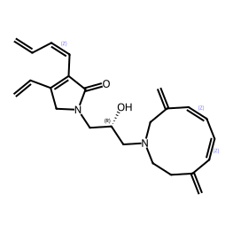 C=C/C=C\C1=C(C=C)CN(C[C@H](O)CN2CCC(=C)/C=C\C=C/C(=C)C2)C1=O